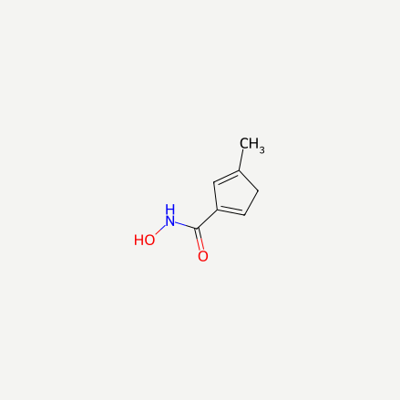 CC1=CC(C(=O)NO)=CC1